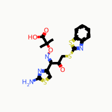 CC(C)(ON=C(C(=O)CSc1nc2ccccc2s1)c1csc(N)n1)C(=O)O